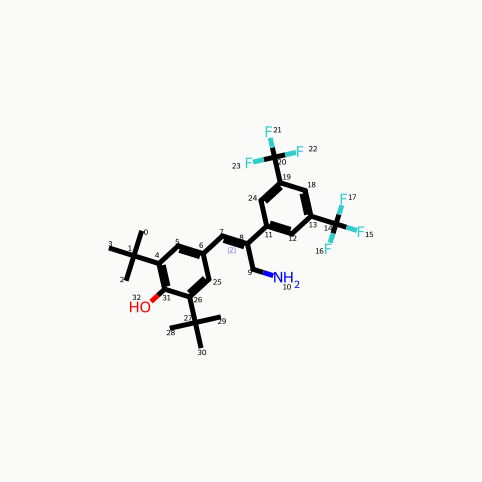 CC(C)(C)c1cc(/C=C(\CN)c2cc(C(F)(F)F)cc(C(F)(F)F)c2)cc(C(C)(C)C)c1O